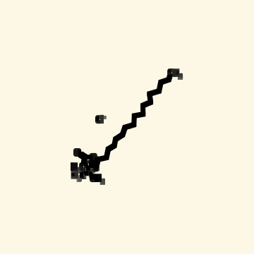 CCCCCCCCCCCCCCCCC(C[N+](C)(C)C)OC(C)=O.[Cl-]